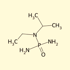 CCN(C(C)C)P(N)(N)=O